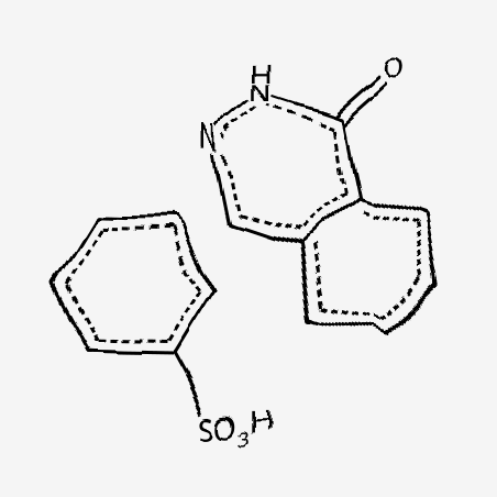 O=S(=O)(O)c1ccccc1.O=c1[nH]ncc2ccccc12